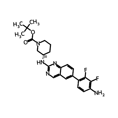 CC(C)(C)OC(=O)N1CCC[C@H](Nc2ncc3cc(-c4ccc(N)c(F)c4F)ccc3n2)C1